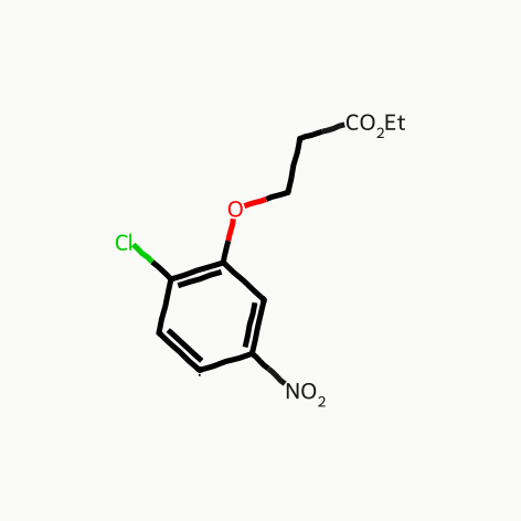 CCOC(=O)CCOc1cc([N+](=O)[O-])[c]cc1Cl